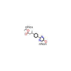 CCCCCCCCCOc1cnc(-c2ccc(C(C)CC(=O)OC(C)CCCCCC)cc2)nc1